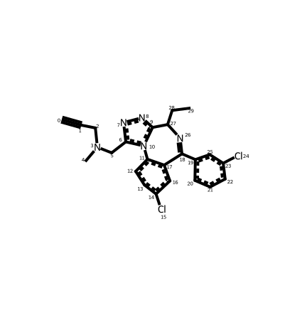 C#CCN(C)Cc1nnc2n1-c1ccc(Cl)cc1C(c1cccc(Cl)c1)=NC2CC